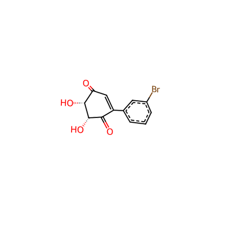 O=C1C=C(c2cccc(Br)c2)C(=O)[C@H](O)[C@@H]1O